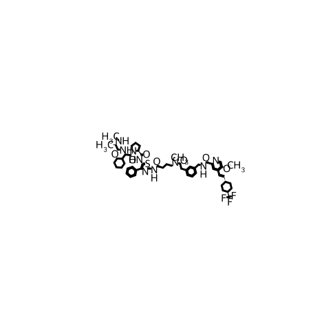 CN[C@@H](C)C(=O)N[C@H](C(=O)N1CCC[C@H]1C(=O)Nc1sc(NC(=O)CCCN(C)C(=O)Cc2cccc(CNC(=O)c3cc(/C=C/[C@H]4CC[C@H](C(F)(F)F)CC4)c(OC)cn3)c2)nc1-c1ccccc1)C1CCCCC1